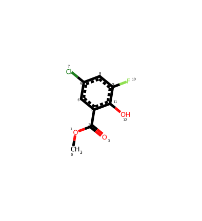 COC(=O)c1cc(Cl)cc(F)c1O